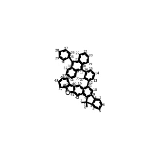 CC1(C)c2ccccc2-c2cc(-c3cccc(-c4c5ccccc5c(-c5ccccc5)c5ccccc45)c3)c3cc4c(cc3c21)oc1ccccc14